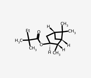 CCC(C)(C)C(=O)O[C@H]1C[C@H]2C[C@@H]([C@@H]1C)C2(C)C